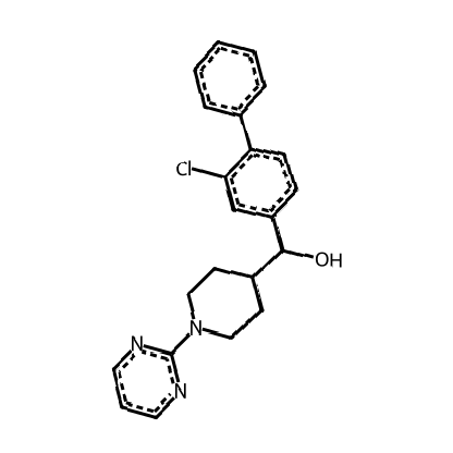 OC(c1ccc(-c2ccccc2)c(Cl)c1)C1CCN(c2ncccn2)CC1